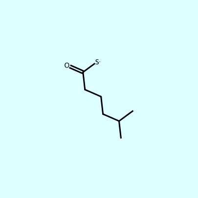 CC(C)CCCC(=O)[S]